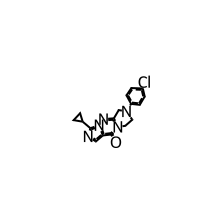 O=c1c2cnc(C3CC3)n2nc2n1CCN(c1ccc(Cl)cc1)C2